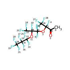 CC(=O)C(F)(OC(F)(F)C(F)(OC(F)(F)C(F)(F)C(F)(F)F)C(F)(F)F)C(F)(F)F